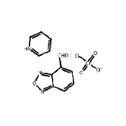 O=Cc1cccc2nonc12.[O]=[Cr](=[O])([O-])[Cl].c1cc[nH+]cc1